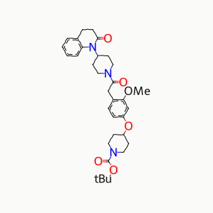 COc1cc(OC2CCN(C(=O)OC(C)(C)C)CC2)ccc1CC(=O)N1CCC(N2C(=O)CCc3ccccc32)CC1